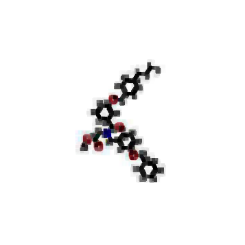 CCCCc1ccc(COc2cccc(C(=O)N(CC(=O)OC)Cc3cccc(OCc4ccccc4)c3)c2)cc1